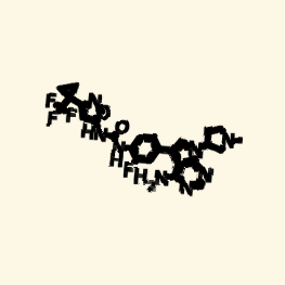 CN1CCC(n2cc(-c3ccc(NC(=O)Nc4cc(C5(C(F)(F)F)CC5)no4)c(F)c3)c3c(N)ncnc32)C1